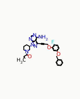 C=CC(=O)N1CCC[C@@H](n2nc(C#CCOc3cc(OCc4ccccc4)ccc3F)c3c(N)ncnc32)C1